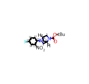 CC(C)(C)OC(=O)N1C[C@@H]2C[C@H]1CN2c1ccc(F)cc1[N+](=O)[O-]